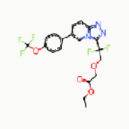 CCOC(=O)COCC(F)(F)c1nnc2ccc(-c3ccc(OC(F)(F)F)cc3)cn12